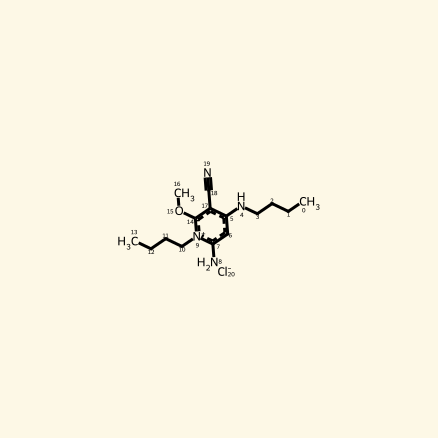 CCCCNc1cc(N)[n+](CCCC)c(OC)c1C#N.[Cl-]